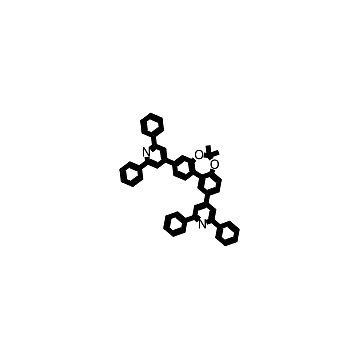 CC1(C)Oc2cc(-c3cc(-c4ccccc4)nc(-c4ccccc4)c3)ccc2-c2cc(-c3cc(-c4ccccc4)nc(-c4ccccc4)c3)ccc2O1